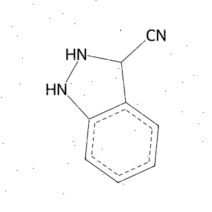 N#CC1NNc2ccccc21